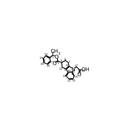 C[C@@H](OC(=O)C1CCc2c(c3ccccc3n2CC(=O)O)C1)c1ccccc1